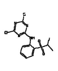 CC(C)S(=O)(=O)c1ccccc1Nc1nc(Cl)nc(Cl)n1